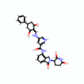 O=C1CCC(N2Cc3c(NC(=O)c4cncc(NC=C5C(=O)CC(c6ccccc6)CC5=O)c4)cccc3C2=O)C(=O)N1